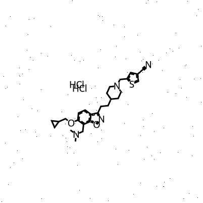 CN(C)Cc1c(OCC2CC2)ccc2c(CCC3CCN(Cc4cc(C#N)cs4)CC3)noc12.Cl.Cl